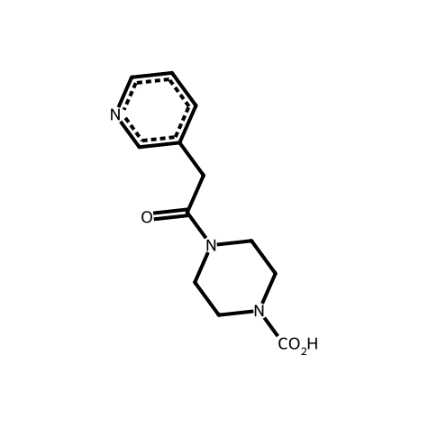 O=C(O)N1CCN(C(=O)Cc2cccnc2)CC1